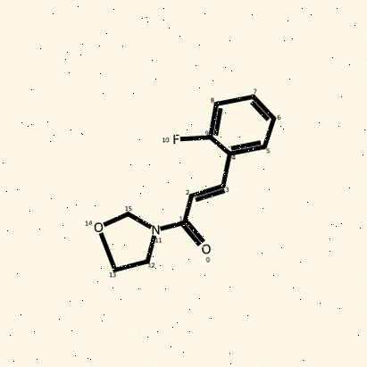 O=C(C=Cc1ccccc1F)N1CCOC1